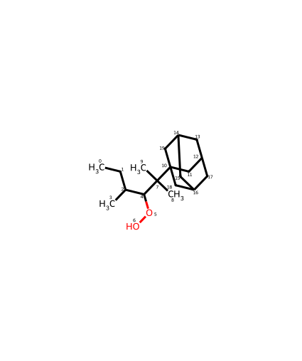 CCC(C)C(OO)C(C)(C)C12CC3CC(CC(C3)C1)C2